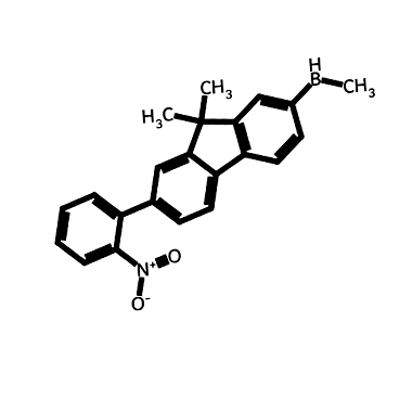 CBc1ccc2c(c1)C(C)(C)c1cc(-c3ccccc3[N+](=O)[O-])ccc1-2